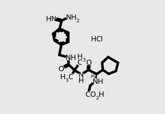 CC(C)(NC(=O)[C@H](NCC(=O)O)C1CCCCC1)C(=O)NCc1ccc(C(=N)N)cc1.Cl